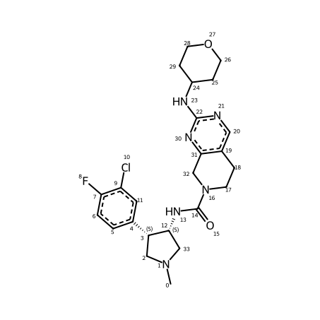 CN1C[C@H](c2ccc(F)c(Cl)c2)[C@H](NC(=O)N2CCc3cnc(NC4CCOCC4)nc3C2)C1